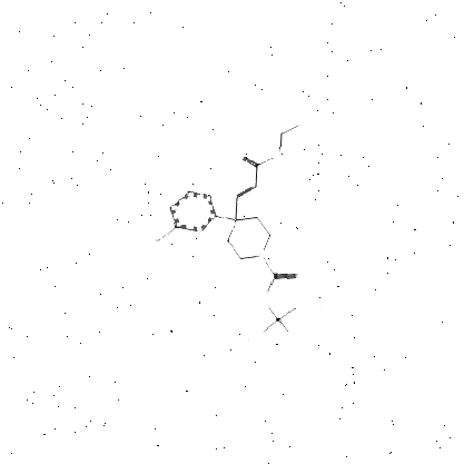 CCOC(=O)/C=C/C1(c2cccc(Cl)c2)CCN(C(=O)OC(C)(C)C)CC1